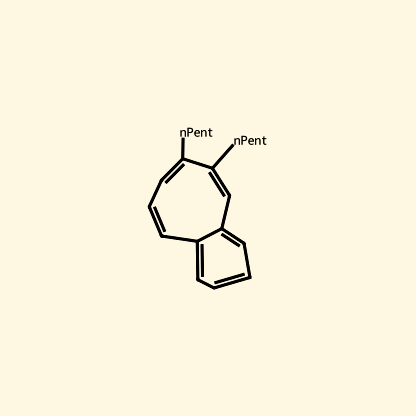 CCCCCC1=C/C=C\c2ccccc2/C=C\1CCCCC